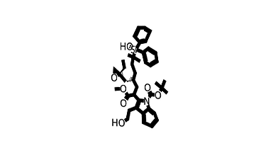 CC[C@]1(C[C@H](CCC(C)(C)[Si](O)(c2ccccc2)c2ccccc2)CC(C(=O)OC)c2c(CCO)c3ccccc3n2C(=O)OC(C)(C)C)CO1